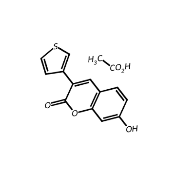 CC(=O)O.O=c1oc2cc(O)ccc2cc1-c1ccsc1